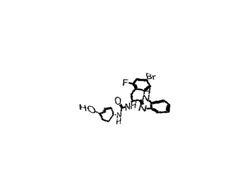 O=C(NC(Cc1ccc(Br)cc1F)c1nc2ccccc2[nH]1)N[C@H]1CC[C@H](O)CC1